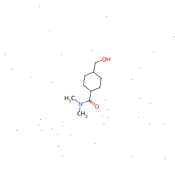 CN(C)C(=O)C1CCC(CO)CC1